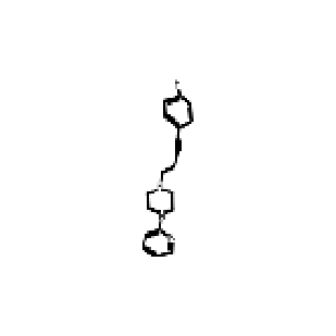 Fc1ccc(C#CCCN2CCN(c3ccccn3)CC2)cc1